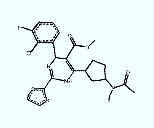 COC(=O)C1=C(C2CCC(N(C)C(C)=O)C2)NC(c2nccs2)=NC1c1cccc(F)c1Cl